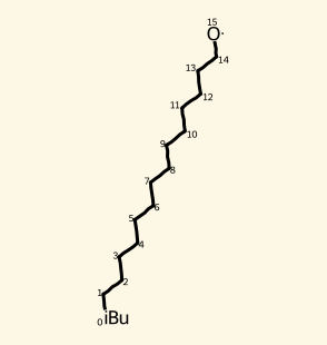 CCC(C)CCCCCCCCCCCCCC[O]